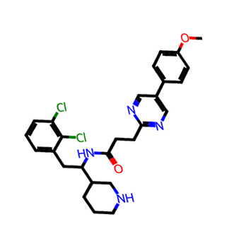 COc1ccc(-c2cnc(CCC(=O)NC(Cc3cccc(Cl)c3Cl)C3CCCNC3)nc2)cc1